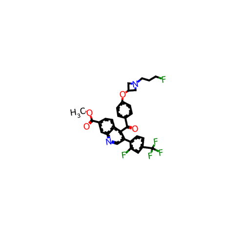 COC(=O)c1ccc2c(C(=O)c3ccc(OC4CN(CCCF)C4)cc3)c(-c3ccc(C(F)(F)F)cc3F)cnc2c1